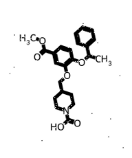 COC(=O)c1ccc(OC(C)c2ccccc2)c(OCC2CCN(C(=O)O)CC2)c1